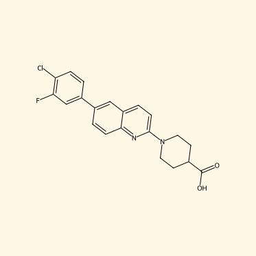 O=C(O)C1CCN(c2ccc3cc(-c4ccc(Cl)c(F)c4)ccc3n2)CC1